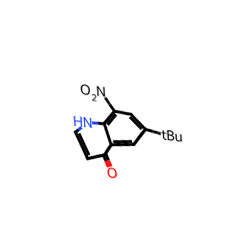 CC(C)(C)c1cc([N+](=O)[O-])c2[nH]ccc(=O)c2c1